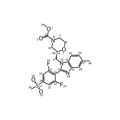 COC(=O)N1CCO[C@@H](Cn2c(-c3c(F)cc(S(C)(=O)=O)cc3F)nc3cc(C)ccc32)C1